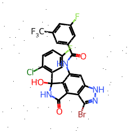 O=C(Nc1cc2[nH]nc(Br)c2c2c1C(O)(c1cc(F)ccc1Cl)NC2=O)c1cc(F)cc(C(F)(F)F)c1